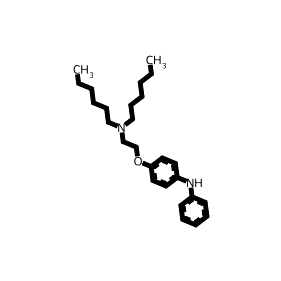 CCCCCCN(CCCCCC)CCOc1ccc(Nc2ccccc2)cc1